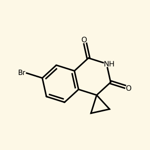 O=C1NC(=O)C2(CC2)c2ccc(Br)cc21